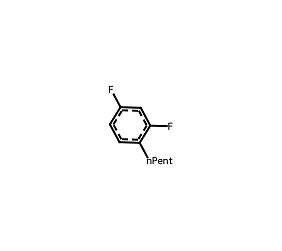 CCCCCc1ccc(F)cc1F